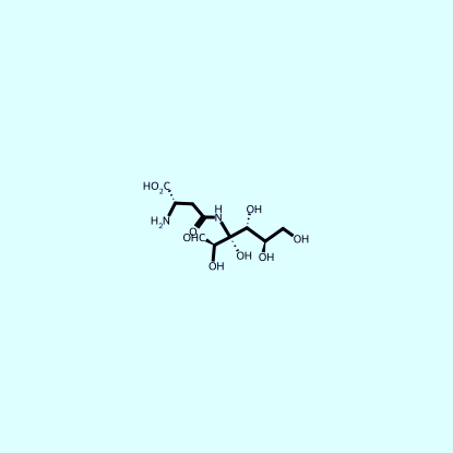 N[C@@H](CC(=O)N[C@@](O)([C@H](O)[C@H](O)CO)[C@@H](O)C=O)C(=O)O